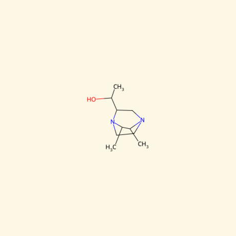 CC(O)C1CN2CCN1C(C)C2C